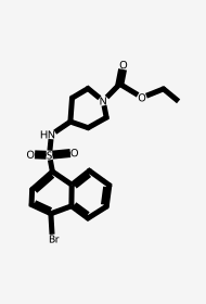 CCOC(=O)N1CCC(NS(=O)(=O)c2ccc(Br)c3ccccc23)CC1